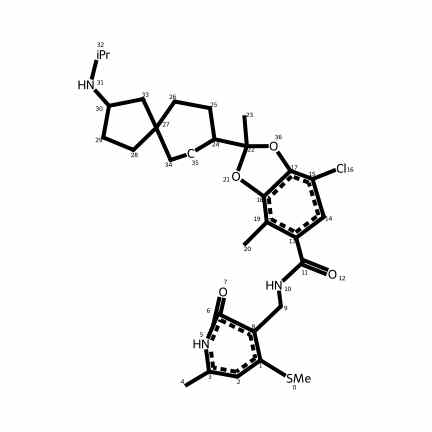 CSc1cc(C)[nH]c(=O)c1CNC(=O)c1cc(Cl)c2c(c1C)OC(C)(C1CCC3(CCC(NC(C)C)C3)CC1)O2